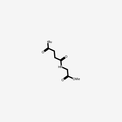 COC(=O)CNC(=O)CCC(=O)C(C)(C)C